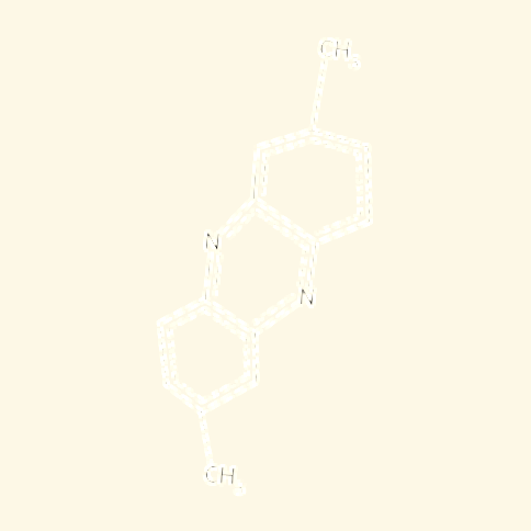 Cc1ccc2nc3cc(C)ccc3nc2c1